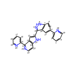 c1ccc(-c2ccc3[nH]nc(-c4cc5c(-c6ccccn6)nccc5[nH]4)c3c2)nc1